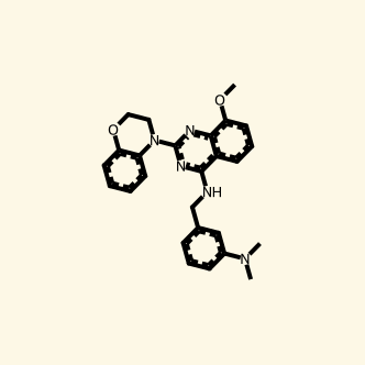 COc1cccc2c(NCc3cccc(N(C)C)c3)nc(N3CCOc4ccccc43)nc12